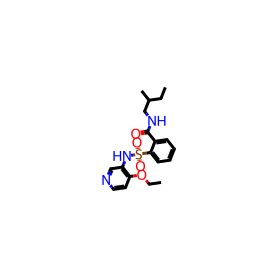 CCOc1ccncc1NS(=O)(=O)c1ccccc1C(=O)NCC(C)CC